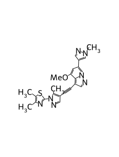 COc1cc(-c2cnn(C)c2)cn2ncc(C#Cc3cnn(-c4nc(C)c(C)s4)c3C)c12